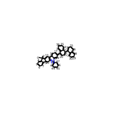 CC1(C)c2ccccc2-c2cc3c(cc21)c1ccc(-c2ccc(-c4cccc5ccccc45)c4ccccc24)cc1n3-c1ccccc1